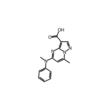 Cc1cc(N(C)c2ccccc2)nc2c(C(=O)O)cnn12